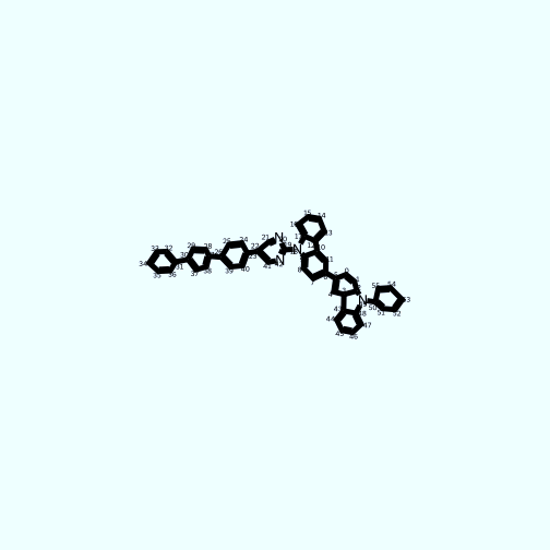 C1=CC2C(C=C1c1ccc3c(c1)c1ccccc1n3-c1ncc(-c3ccc(-c4ccc(-c5ccccc5)cc4)cc3)cn1)c1ccccc1N2c1ccccc1